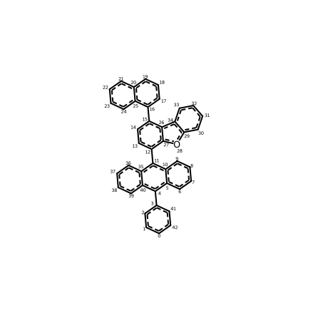 c1ccc(-c2c3ccccc3c(-c3ccc(-c4cccc5ccccc45)c4c3oc3ccccc34)c3ccccc23)cc1